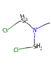 CN([SiH2]Cl)[SiH2]Cl